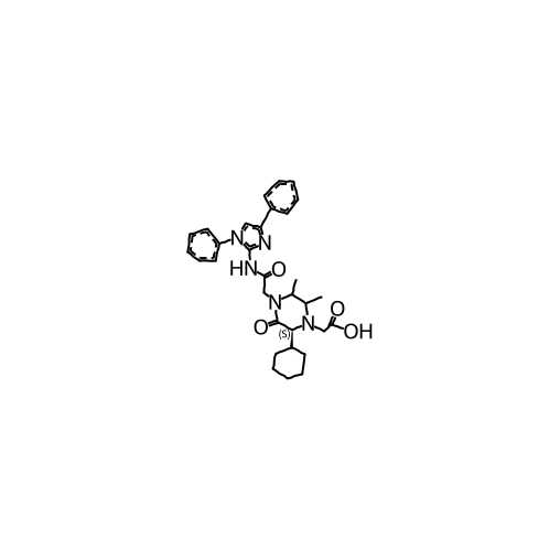 CC1C(C)N(CC(=O)O)[C@@H](C2CCCCC2)C(=O)N1CC(=O)Nc1nc(-c2ccccc2)cn1-c1ccccc1